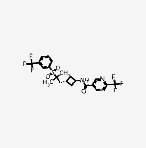 CC(C)(C[C@H]1C[C@H](NC(=O)c2ccc(C(F)(F)F)nc2)C1)S(=O)(=O)c1cccc(C(F)(F)F)c1